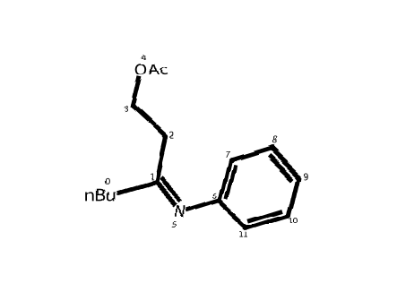 CCCCC(CCOC(C)=O)=Nc1ccccc1